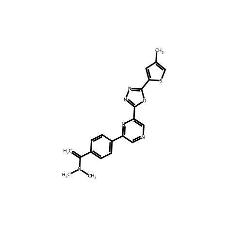 C=C(c1ccc(-c2cncc(-c3nnc(-c4cc(C)cs4)o3)n2)cc1)N(C)C